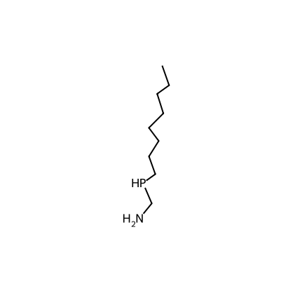 CCCCCCCCPCN